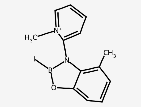 Cc1cccc2c1N(c1cccc[n+]1C)B(I)O2